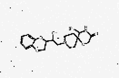 CC(C)C1NC(=O)COC12CCN(CC(O)C1COc3ccccc3O1)CC2